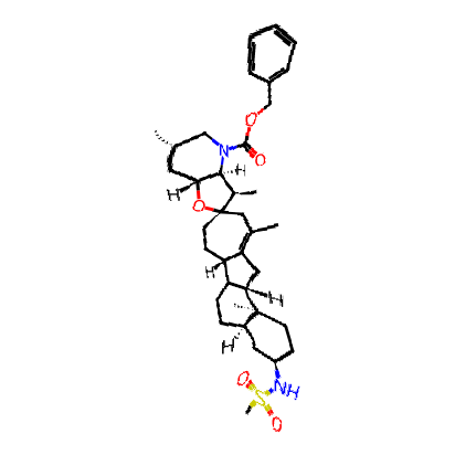 CC1=C2C[C@H]3C(CC[C@@H]4C[C@H](NS(C)(=O)=O)CC[C@@]43C)[C@@H]2CC[C@@]2(C1)O[C@@H]1C[C@H](C)CN(C(=O)OCc3ccccc3)[C@H]1[C@H]2C